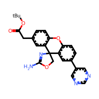 CC(C)(C)OC(=O)Cc1ccc2c(c1)C1(COC(N)=N1)c1cc(-c3cncnc3)ccc1O2